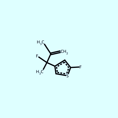 C=C(C)C(C)(F)c1csc(F)c1